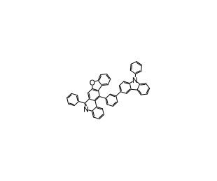 c1ccc(-c2nc3ccccc3c3c(-c4cccc(-c5ccc6c(c5)c5ccccc5n6-c5ccccc5)c4)c4c(cc23)oc2ccccc24)cc1